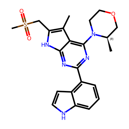 Cc1c(CS(C)(=O)=O)[nH]c2nc(-c3cccc4[nH]ccc34)nc(N3CCOC[C@H]3C)c12